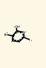 Oc1nc(I)ccc1Br